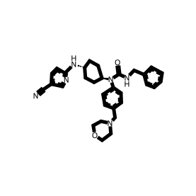 N#Cc1ccc(N[C@H]2CC[C@H](N(C(=O)NCc3ccccc3)c3ccc(CN4CCOCC4)cc3)CC2)nc1